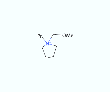 COC[N+]1(C(C)C)CCCC1